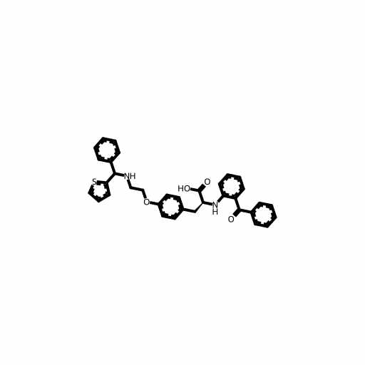 O=C(c1ccccc1)c1ccccc1N[C@@H](Cc1ccc(OCCNC(c2ccccc2)c2cccs2)cc1)C(=O)O